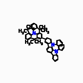 CC1(C)c2cccc3c2N2c4c1cccc4C(C)(C)c1cc(-c4ccc5c(c4)c4ccc6c7ccccc7n(-c7ccccc7)c6c4n5-c4ccccc4)cc(c12)C3(C)C